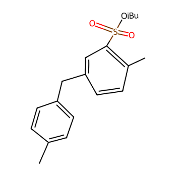 Cc1ccc(Cc2ccc(C)c(S(=O)(=O)OCC(C)C)c2)cc1